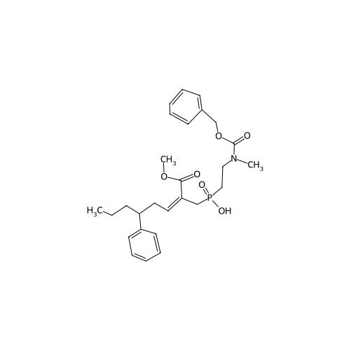 CCCC(CC=C(CP(=O)(O)CCN(C)C(=O)OCc1ccccc1)C(=O)OC)c1ccccc1